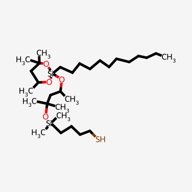 CCCCCCCCCCCC[Si]1(OC(C)CC(C)(C)O[Si](C)(C)CCCCS)OC(C)CC(C)(C)O1